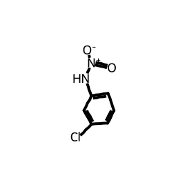 O=[N+]([O-])Nc1cccc(Cl)c1